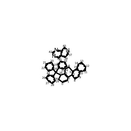 C1=CC2=C(CCc3c2ccc2ccccc32)C(C(c2ccccc2)(c2ccccc2)c2ccccc2)C1.c1cc2cncnc2cn1